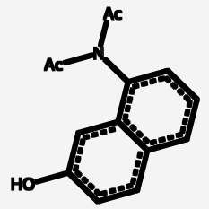 CC(=O)N(C(C)=O)c1cccc2ccc(O)cc12